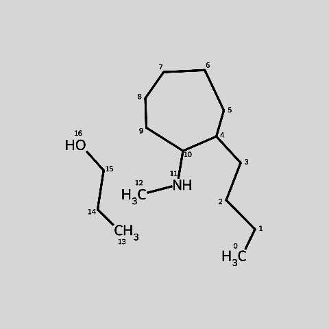 CCCCC1CCCCCC1NC.CCCO